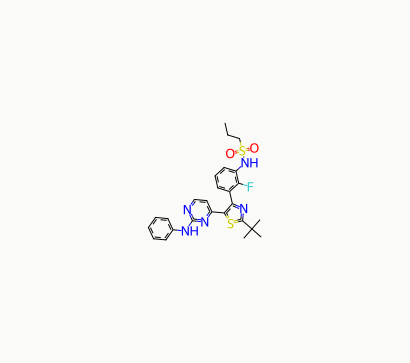 CCCS(=O)(=O)Nc1cccc(-c2nc(C(C)(C)C)sc2-c2ccnc(Nc3ccccc3)n2)c1F